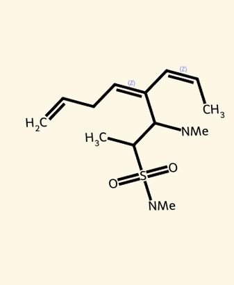 C=CC/C=C(/C=C\C)C(NC)C(C)S(=O)(=O)NC